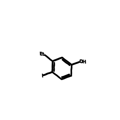 CCc1cc(O)ccc1I